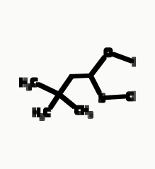 CC(C)(C)CC(OI)SCl